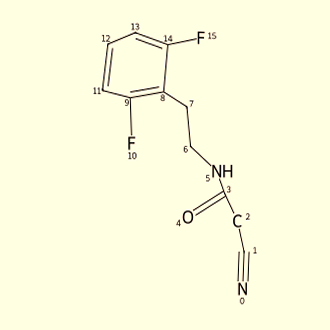 N#CCC(=O)NCCc1c(F)cccc1F